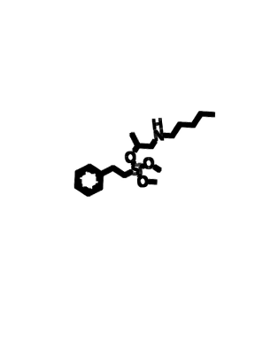 CCCCCNCC(C)O[Si](CCc1ccccc1)(OC)OC